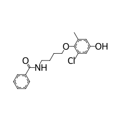 Cc1cc(O)cc(Cl)c1OCCCCNC(=O)c1ccccc1